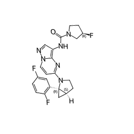 O=C(Nc1cnn2ccc(N3CC[C@H]4C[C@]43c3cc(F)ccc3F)nc12)N1CC[C@@H](F)C1